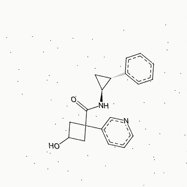 O=C(N[C@H]1C[C@@H]1c1ccccc1)C1(c2cccnc2)CC(O)C1